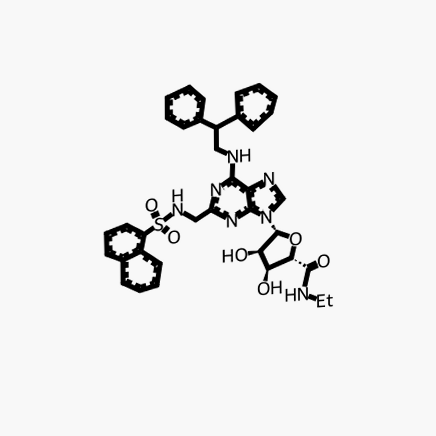 CCNC(=O)[C@H]1O[C@@H](n2cnc3c(NCC(c4ccccc4)c4ccccc4)nc(CNS(=O)(=O)c4cccc5ccccc45)nc32)[C@H](O)[C@@H]1O